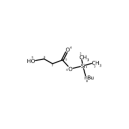 CCCC[Si](C)(C)OC(=O)CCO